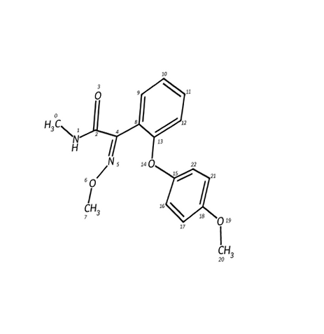 CNC(=O)/C(=N\OC)c1ccccc1Oc1ccc(OC)cc1